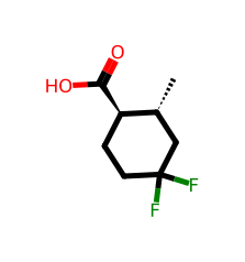 C[C@@H]1CC(F)(F)CC[C@H]1C(=O)O